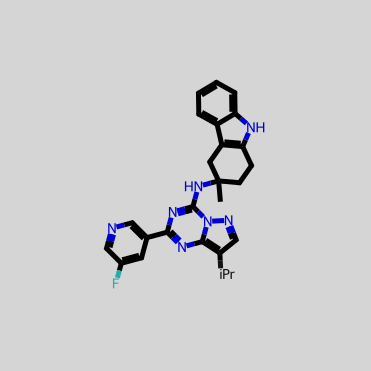 CC(C)c1cnn2c(NC3(C)CCc4[nH]c5ccccc5c4C3)nc(-c3cncc(F)c3)nc12